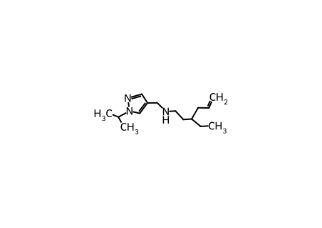 C=CCC(CC)CCNCc1cnn(C(C)C)c1